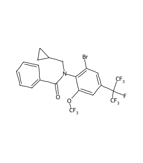 O=C(c1ccccc1)N(CC1CC1)c1c(Br)cc(C(F)(C(F)(F)F)C(F)(F)F)cc1OC(F)(F)F